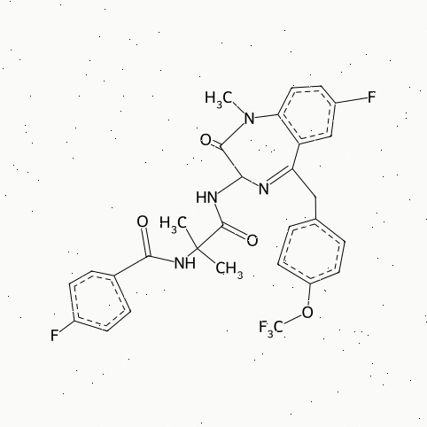 CN1C(=O)C(NC(=O)C(C)(C)NC(=O)c2ccc(F)cc2)N=C(Cc2ccc(OC(F)(F)F)cc2)c2cc(F)ccc21